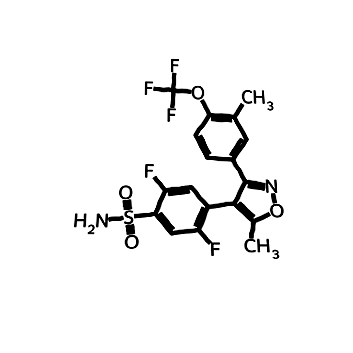 Cc1cc(-c2noc(C)c2-c2cc(F)c(S(N)(=O)=O)cc2F)ccc1OC(F)(F)F